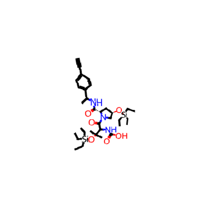 C#Cc1ccc(C(C)NC(=O)[C@@H]2C[C@@H](O[Si](CC)(CC)CC)CN2C(=O)C(NC(=O)O)C(C)(C)O[Si](CC)(CC)CC)cc1